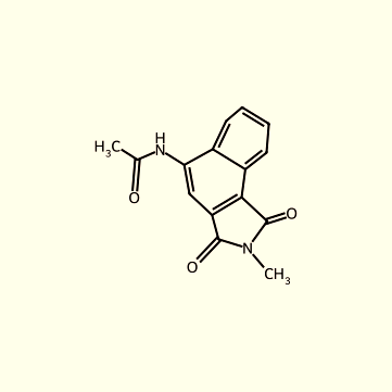 CC(=O)Nc1cc2c(c3ccccc13)C(=O)N(C)C2=O